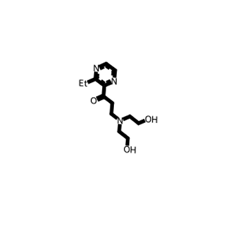 CCc1nccnc1C(=O)CCN(CCO)CCO